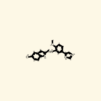 COc1ccc(-c2cnco2)cc1NCc1cc2cc(Cl)ccc2s1